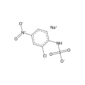 O=[N+]([O-])c1ccc(NS(=O)(=O)[O-])c(Cl)c1.[Na+]